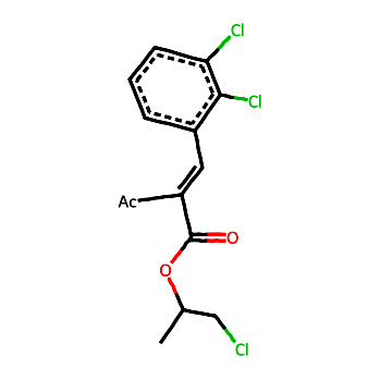 CC(=O)/C(=C\c1cccc(Cl)c1Cl)C(=O)OC(C)CCl